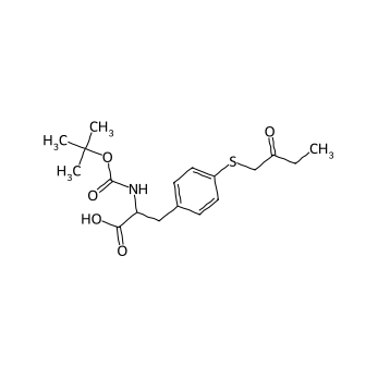 CCC(=O)CSc1ccc(CC(NC(=O)OC(C)(C)C)C(=O)O)cc1